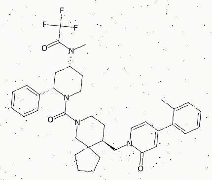 Cc1ccccc1-c1ccn(C[C@@H]2CCN(C(=O)N3CC[C@@H](N(C)C(=O)C(F)(F)F)C[C@H]3c3ccccc3)CC23CCCC3)c(=O)c1